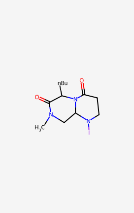 CCCCC1C(=O)N(C)CC2N(I)CCC(=O)N12